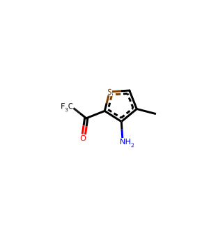 Cc1csc(C(=O)C(F)(F)F)c1N